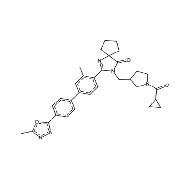 Cc1nnc(-c2ccc(-c3ccc(C4=NC5(CCCC5)C(=O)N4CC4CCN(C(=O)C5CC5)C4)c(C)c3)cc2)o1